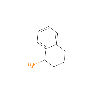 PC1CCCc2ccccc21